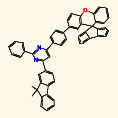 CC1(C)c2ccccc2-c2ccc(-c3cc(-c4ccc(-c5ccc6c(c5)C5(c7ccccc7O6)c6ccccc6-c6ccccc65)cc4)nc(-c4ccccc4)n3)cc21